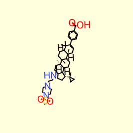 CC1([C@@H]2CC[C@]3(NCCN4CCN(S(C)(=O)=O)CC4)CC[C@]4(C)[C@H](CC[C@@H]5[C@@]6(C)CC=C(c7ccc(C(=O)O)cc7)C(C)(C)[C@@H]6CC[C@]54C)[C@@H]23)CC1